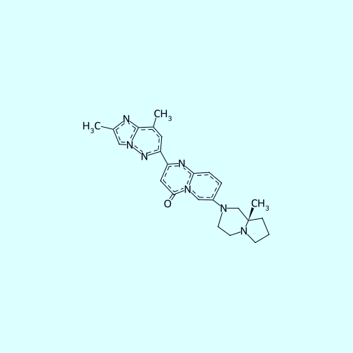 Cc1cn2nc(-c3cc(=O)n4cc(N5CCN6CCC[C@@]6(C)C5)ccc4n3)cc(C)c2n1